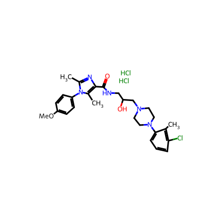 COc1ccc(-n2c(C)nc(C(=O)NCC(O)CN3CCN(c4cccc(Cl)c4C)CC3)c2C)cc1.Cl.Cl